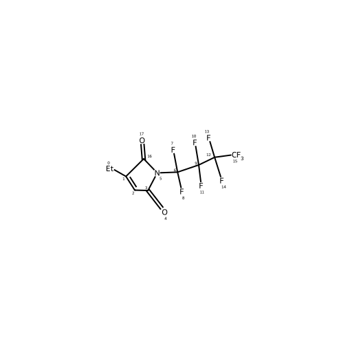 CCC1=CC(=O)N(C(F)(F)C(F)(F)C(F)(F)C(F)(F)F)C1=O